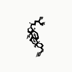 CC[C@H](CC[C@@H](C)[C@H]1CC[C@H]2[C@@H]3CC[C@H]4C/C(=N\O)CC[C@]4(C)[C@H]3CC[C@]12C)C(C)C